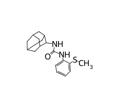 CSc1ccccc1NC(=O)NC1C2CC3CC(C2)CC1C3